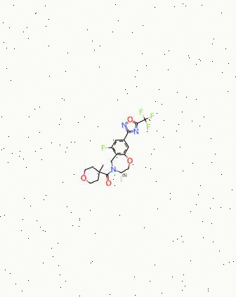 C[C@H]1COc2cc(-c3noc(C(F)(F)F)n3)cc(F)c2CN1C(=O)C1(C)CCOCC1